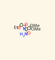 CCOc1cccc(C(=O)c2ncc(C(N)=O)c3cc(OC)c(OC)cc23)c1